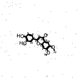 COc1cc2oc(-c3ccc(O)c(O)c3)cc(=O)c2cc1OC